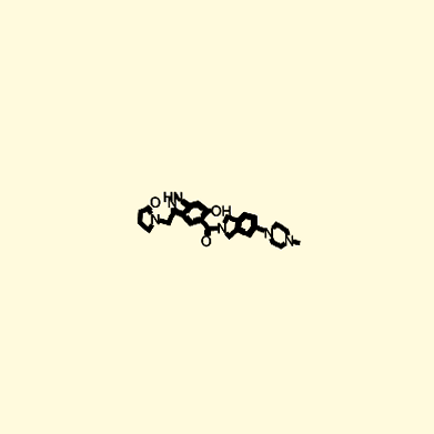 CN1CCN(c2ccc3c(c2)CN(C(=O)c2cc4c(CN5CCCC5=O)n[nH]c4cc2O)C3)CC1